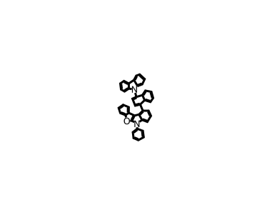 c1ccc(-n2c3cccc(-c4ccc(-n5c6ccccc6c6ccccc65)c5ccccc45)c3c3c4ccccc4oc32)cc1